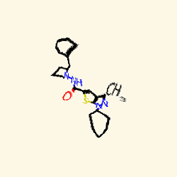 Cc1nn(C2CCCCC2)c2sc(C(=O)NN3CCCC3Cc3ccccc3)cc12